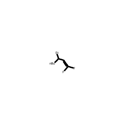 [CH2]CC(C=C(F)F)CCCC